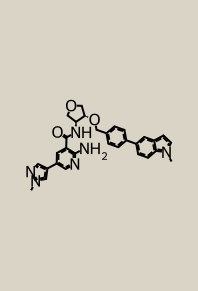 Cn1cc(-c2cnc(N)c(C(=O)N[C@H]3COC[C@@H]3OCc3ccc(-c4ccc5c(ccn5C)c4)cc3)c2)cn1